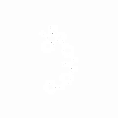 CN(C(=O)c1ccccn1)C1CCN(c2ccc(NC(=O)Nc3ccc(Oc4ccccc4)cc3)cc2)C1